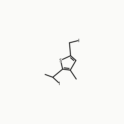 Cc1cc(CI)sc1C(C)I